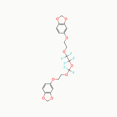 FC(F)(OCCOc1ccc2c(c1)OCO2)OC(F)(F)C(F)(F)OCCOc1ccc2c(c1)OCO2